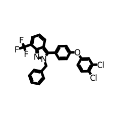 FC(F)(F)c1cccc2c(-c3ccc(Oc4ccc(Cl)c(Cl)c4)cc3)n(Cc3ccccc3)nc12